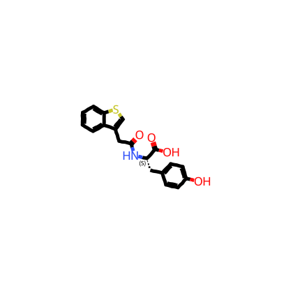 O=C(Cc1csc2ccccc12)N[C@@H](Cc1ccc(O)cc1)C(=O)O